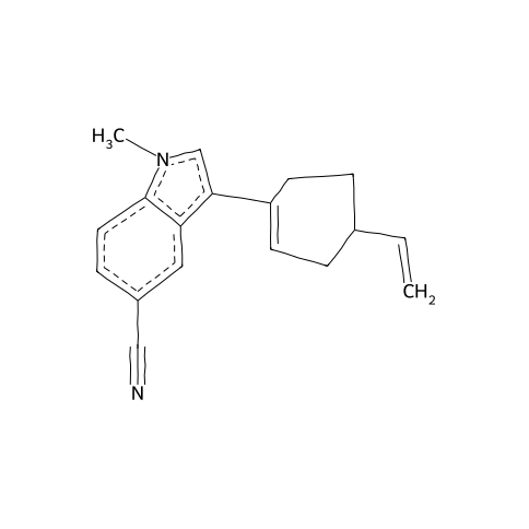 C=CC1CC=C(c2cn(C)c3ccc(C#N)cc23)CC1